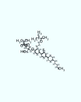 C=C(C)C(=C)OCCCc1cc(-c2ccc(C3CCC(CCCCC)CC3)cc2F)ccc1OCC(CO)(CO)COC(=O)C(=C)C